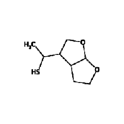 CC(S)C1COC2OCCC21